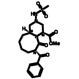 COC(=O)[C@@H]1CN(NS(C)(=O)=O)C[C@@H]2CCCC[C@@H](C(=O)c3ccccc3)C(=O)N21